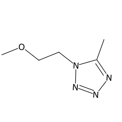 COCCn1nnnc1C